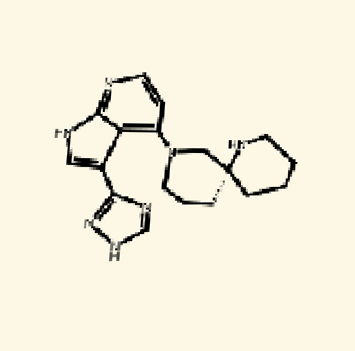 c1cc(N2CCC[C@]3(CCCCN3)C2)c2c(-c3nc[nH]n3)c[nH]c2n1